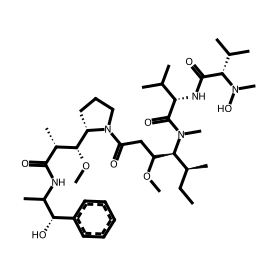 CC[C@H](C)[C@@H](C(CC(=O)N1CCC[C@H]1[C@H](OC)[C@@H](C)C(=O)NC(C)[C@@H](O)c1ccccc1)OC)N(C)C(=O)[C@@H](NC(=O)[C@H](C(C)C)N(C)O)C(C)C